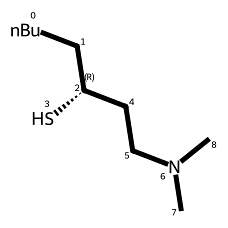 CCCCC[C@@H](S)CCN(C)C